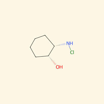 O[C@@H]1CCCC[C@@H]1NCl